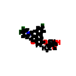 CC(C)(COc1ccc2c(c1)C(c1ccc(F)cc1)=C(CN1CCC(F)(F)C1)CO2)C(=O)O